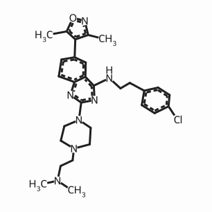 Cc1noc(C)c1-c1ccc2nc(N3CCN(CCN(C)C)CC3)nc(NCCc3ccc(Cl)cc3)c2c1